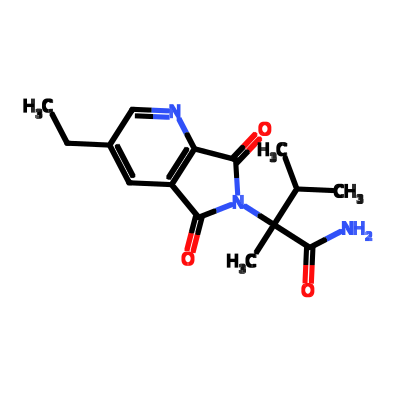 CCc1cnc2c(c1)C(=O)N(C(C)(C(N)=O)C(C)C)C2=O